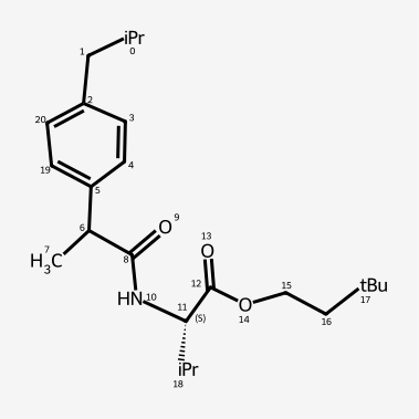 CC(C)Cc1ccc(C(C)C(=O)N[C@H](C(=O)OCCC(C)(C)C)C(C)C)cc1